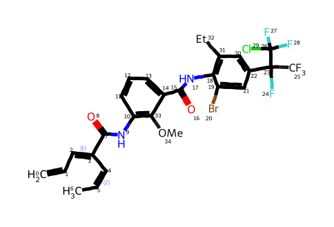 C=C/C=C(\C=C/C)C(=O)Nc1cccc(C(=O)Nc2c(Br)cc(C(F)(C(F)(F)F)C(F)(F)Cl)cc2CC)c1OC